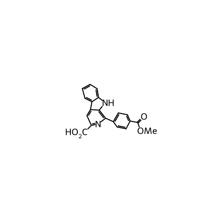 COC(=O)c1ccc(-c2nc(C(=O)O)cc3c2[nH]c2ccccc23)cc1